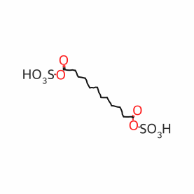 O=C(CCCCCCCCCCC(=O)OS(=O)(=O)O)OS(=O)(=O)O